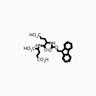 O=C(O)CCC(NC(=O)C(CCC(=O)O)NC(=O)OCC1c2ccccc2-c2ccccc21)C(=O)O